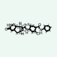 O=C(Nc1ccccc1)c1cc(F)c(NC(=O)N2[C@H]3CC[C@@H]2c2n[nH]c(=O)cc2C3)cc1Cl